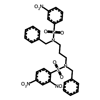 O=[N+]([O-])c1cccc(S(=O)(=O)N(CCCN(Cc2ccccc2)S(=O)(=O)c2ccc([N+](=O)[O-])cc2[N+](=O)[O-])Cc2ccccc2)c1